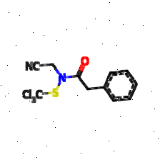 N#CCN(SC(Cl)(Cl)Cl)C(=O)Cc1ccccc1